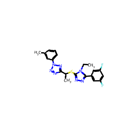 CCn1c(SC(C)c2nnn(-c3cccc(C)c3)n2)nnc1-c1cc(F)cc(F)c1